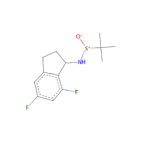 CC(C)(C)[S+]([O-])NC1CCc2cc(F)cc(F)c21